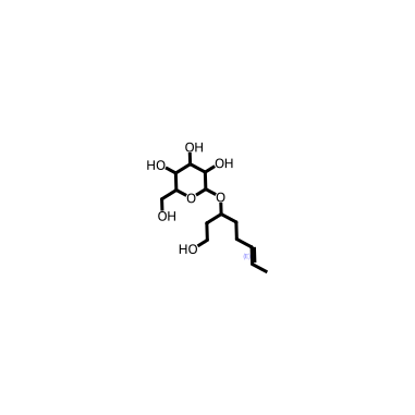 C/C=C/CCC(CCO)OC1OC(CO)C(O)C(O)C1O